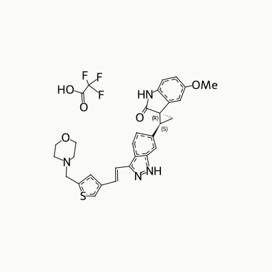 COc1ccc2c(c1)[C@]1(C[C@H]1c1ccc3c(C=Cc4csc(CN5CCOCC5)c4)n[nH]c3c1)C(=O)N2.O=C(O)C(F)(F)F